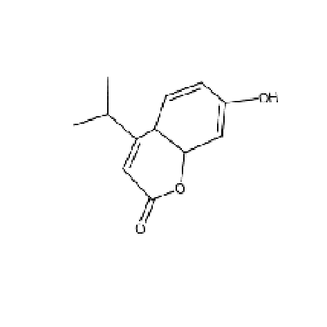 CC(C)C1=CC(=O)OC2C=C(O)C=CC12